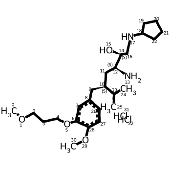 COCCCOc1cc(C[C@@H](C[C@H](N)[C@@H](O)CNC2CCCC2)C(C)C)ccc1OC.Cl.Cl